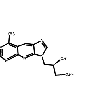 COC[C@H](O)Cn1cnc2cc3c(N)ncnc3nc21